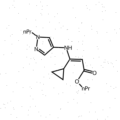 CCCOC(=O)C=C(Nc1cnn(CCC)c1)C1CC1